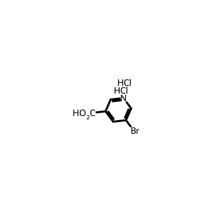 Cl.Cl.O=C(O)c1cncc(Br)c1